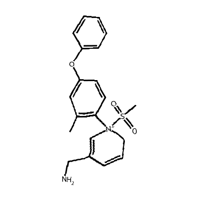 Cc1cc(Oc2ccccc2)ccc1[N+]1(S(C)(=O)=O)C=C(CN)C=CC1